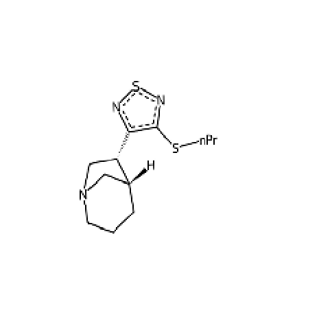 CCCSc1nsnc1[C@H]1CN2CCC[C@@H]1C2